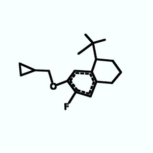 CC(C)(C)C1CCCc2cc(F)c(OCC3CC3)cc21